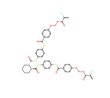 C=C(F)C(=O)OCOc1ccc(C(=O)Sc2ccc(SC(=O)[C@H]3CCCC[C@@H]3C(=O)Sc3ccc(SC(=O)c4ccc(OCOC(=O)C(=C)F)cc4)cc3)cc2)cc1